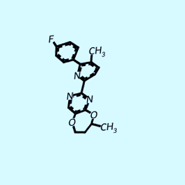 Cc1ccc(-c2ncc3c(n2)OC(C)CCO3)nc1-c1ccc(F)cc1